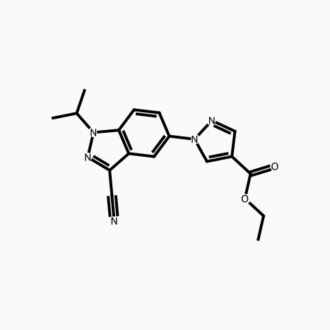 CCOC(=O)c1cnn(-c2ccc3c(c2)c(C#N)nn3C(C)C)c1